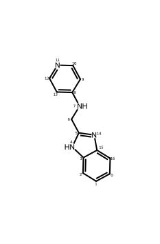 c1ccc2[nH]c(CNc3ccncc3)nc2c1